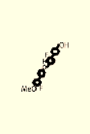 COc1ccc(-c2ccc(OCc3ccc(C4CCC(CO)CC4)c(F)c3F)cc2)cc1F